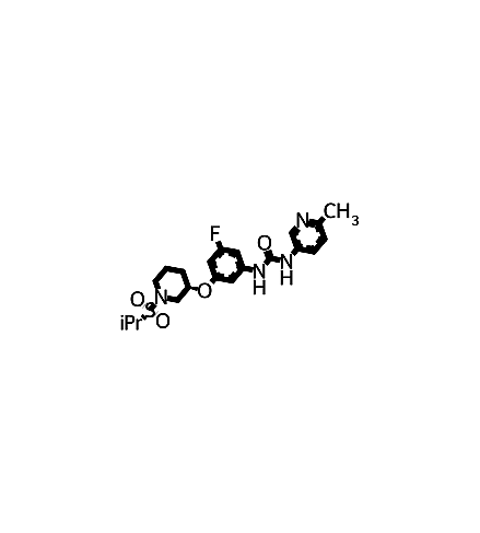 Cc1ccc(NC(=O)Nc2cc(F)cc(O[C@@H]3CCCN(S(=O)(=O)C(C)C)C3)c2)cn1